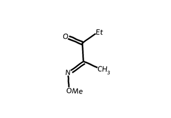 CCC(=O)/C(C)=N/OC